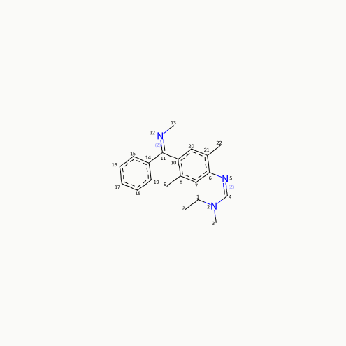 CCN(C)/C=N\c1cc(C)c(/C(=N\C)c2ccccc2)cc1C